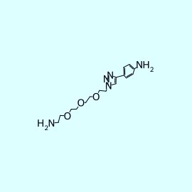 NCCOCCOCCOCCn1cc(-c2ccc(N)cc2)nn1